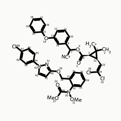 CC1(C)[C@H](C(=O)OC(C#N)c2cccc(Oc3ccccc3)c2)[C@@H]1C=C(Cl)Cl.COC(=O)N(OC)c1ccccc1COc1ccn(-c2ccc(Cl)cc2)n1